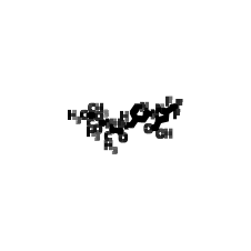 CC(NC(=O)OC(C)(C)C)C(=O)NCc1ccnc(-n2nc(C(F)(F)F)cc2C(=O)O)c1